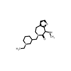 CCN1CCCC(CN2CCc3ccoc3C(NC)C2=O)C1